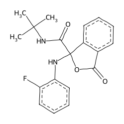 CC(C)(C)NC(=O)C1(Nc2ccccc2F)OC(=O)c2ccccc21